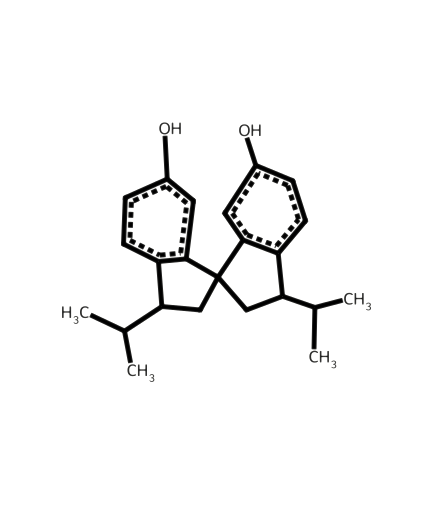 CC(C)C1CC2(CC(C(C)C)c3ccc(O)cc32)c2cc(O)ccc21